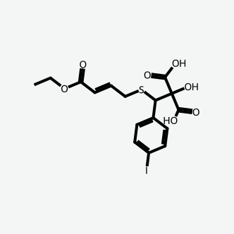 CCOC(=O)/C=C/CSC(c1ccc(I)cc1)C(O)(C(=O)O)C(=O)O